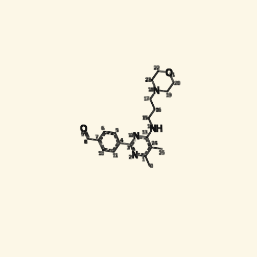 Cc1nc(-c2ccc(C=O)cc2)nc(NCCCN2CCOCC2)c1C